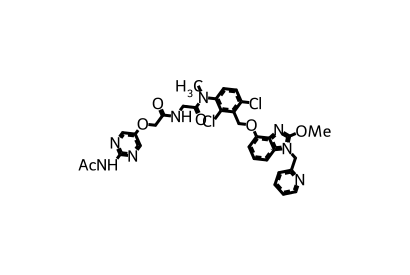 COc1nc2c(OCc3c(Cl)ccc(N(C)C(=O)CNC(=O)COc4cnc(NC(C)=O)nc4)c3Cl)cccc2n1Cc1ccccn1